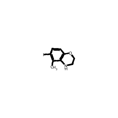 Cc1c(I)ccc2c1NCCO2